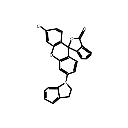 O=C1OC2(c3ccc(Cl)cc3Oc3cc(N4CCc5ccccc54)ccc32)c2ccccc21